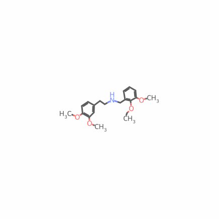 CCOc1c(CNCCc2ccc(OC)c(OC)c2)cccc1OC